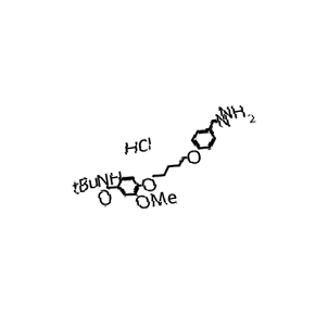 COc1cc(C(=O)NC(C)(C)C)ccc1OCCCCCOc1ccc(C=NN)cc1.Cl